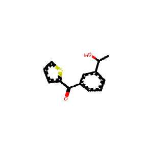 CC(O)c1cccc(C(=O)c2cccs2)c1